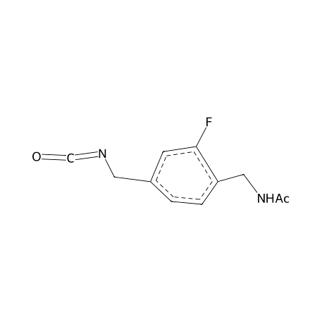 CC(=O)NCc1ccc(CN=C=O)cc1F